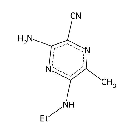 CCNc1nc(N)c(C#N)nc1C